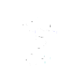 C[C@@H](N)c1cn(CC2(C(F)(F)F)CC2)c2cc(-c3ccccc3C(F)(F)F)ccc12